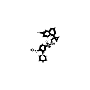 COc1ccc(S(=O)(=O)NCC2(c3cccc4cc(F)ccc34)CC2)cc1N1CCCCC1